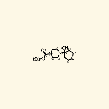 CC(C)(C)OC(=O)N1CCN(C2(C#N)CCOCC2)CC1